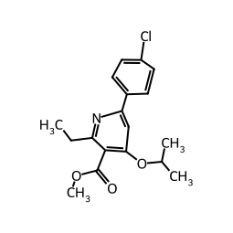 CCc1nc(-c2ccc(Cl)cc2)cc(OC(C)C)c1C(=O)OC